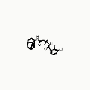 Cc1c(Cl)cccc1C(=O)NC(C)(C)CC(=O)NC1C2CC3CC(C2)CC1C3